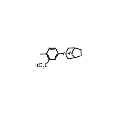 Cc1ccc(N2CC3CCC(C2)N3C)cc1C(=O)O